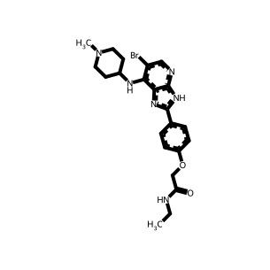 CCNC(=O)COc1ccc(-c2nc3c(NC4CCN(C)CC4)c(Br)cnc3[nH]2)cc1